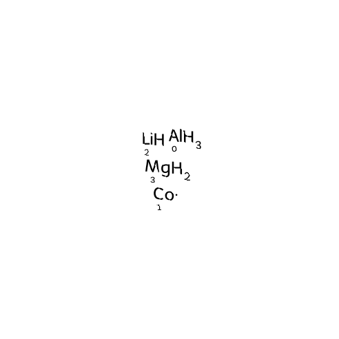 [AlH3].[Co].[LiH].[MgH2]